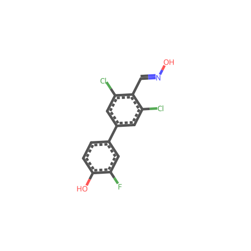 ON=Cc1c(Cl)cc(-c2ccc(O)c(F)c2)cc1Cl